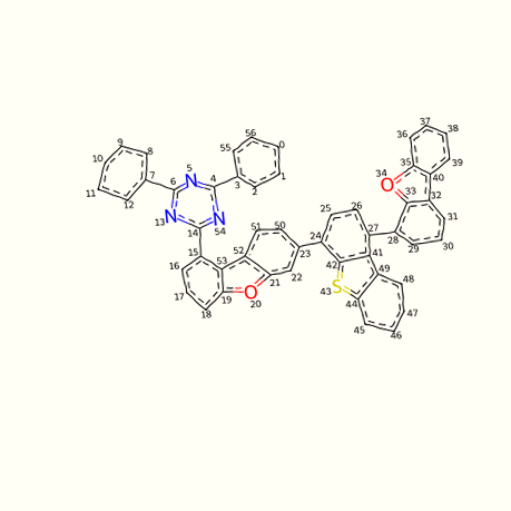 c1ccc(-c2nc(-c3ccccc3)nc(-c3cccc4oc5cc(-c6ccc(-c7cccc8c7oc7ccccc78)c7c6sc6ccccc67)ccc5c34)n2)cc1